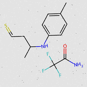 Cc1ccc(NC(C)CC=S)cc1.NC(=O)C(F)(F)F